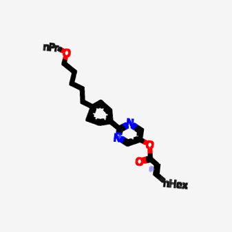 CCCCCC/C=C/C(=O)Oc1cnc(-c2ccc(CCCCCOCCC)cc2)nc1